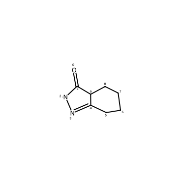 O=C1[N]N=C2CCCCC12